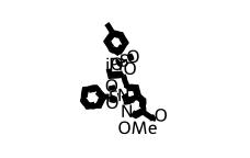 COC(=O)c1cnc2c(c1)cc(/C(=C/C(C)C)OS(=O)(=O)c1ccc(C)cc1)n2S(=O)(=O)c1ccccc1